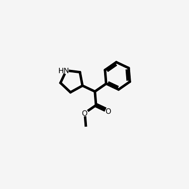 COC(=O)C(c1ccccc1)C1CCNC1